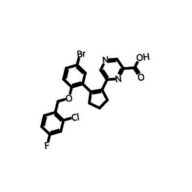 O=C(O)c1cncc(C2=C(c3cc(Br)ccc3OCc3ccc(F)cc3Cl)CCC2)n1